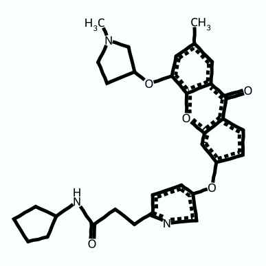 Cc1cc(OC2CCN(C)C2)c2oc3cc(Oc4ccc(CCC(=O)NC5CCCC5)nc4)ccc3c(=O)c2c1